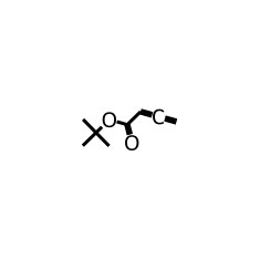 C=C=CC(=O)OC(C)(C)C